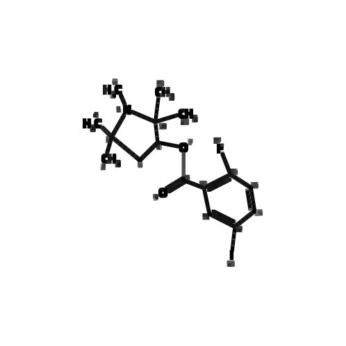 CN1C(C)(C)CC(OC(=O)c2cc(I)ccc2F)C1(C)C